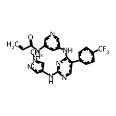 C=CC(=O)Nc1cncc(Nc2nc(Nc3cnn(C)c3)ncc2-c2ccc(C(F)(F)F)cc2)c1